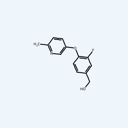 Cc1ccc(Oc2ccc(CO)cc2F)cn1